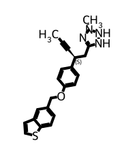 CC#C[C@@H](CC1=NN(C)NN1)c1ccc(OCc2ccc3sccc3c2)cc1